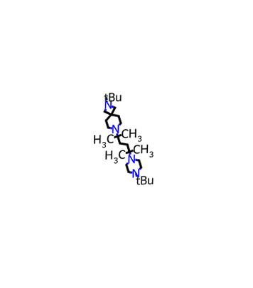 CC(C)(C)N1CCN(C(C)(C)CCC(C)(C)N2CCC3(CC2)CN(C(C)(C)C)C3)CC1